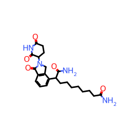 NC(=O)CCCCCCCC(C(N)=O)c1cccc2c1CN(C1CCC(=O)NC1=O)C2=O